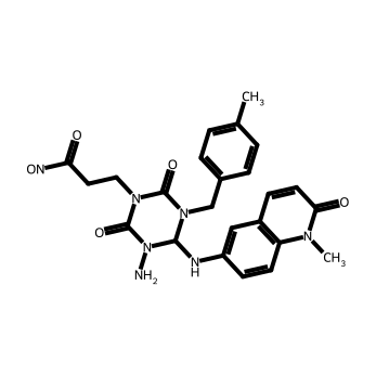 Cc1ccc(CN2C(=O)N(CCC(=O)N=O)C(=O)N(N)C2Nc2ccc3c(ccc(=O)n3C)c2)cc1